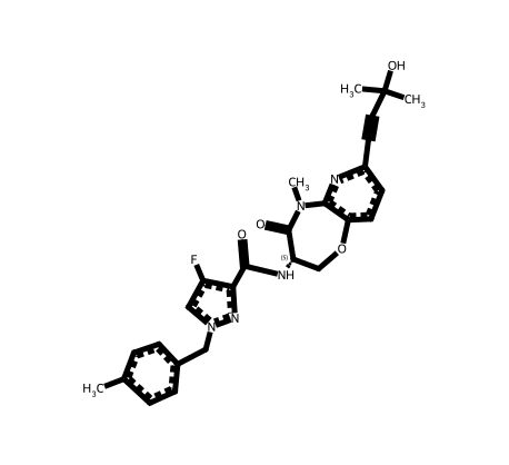 Cc1ccc(Cn2cc(F)c(C(=O)N[C@H]3COc4ccc(C#CC(C)(C)O)nc4N(C)C3=O)n2)cc1